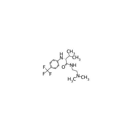 CC(C)[C@@H](Nc1ccc(C(F)(F)F)cc1)C(=O)NCCN(C)C